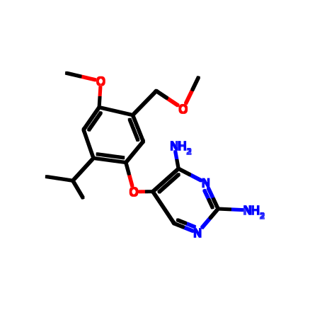 COCc1cc(Oc2cnc(N)nc2N)c(C(C)C)cc1OC